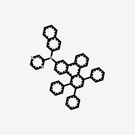 c1ccc(-c2cc(-c3ccccc3)c3c4ccccc4c4cc(N(c5ccc6ccccc6c5)c5cnccn5)ccc4c3c2-c2ccccc2)cc1